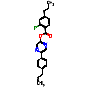 CCCc1ccc(-c2cnc(OC(=O)c3ccc(CCC)cc3F)cn2)cc1